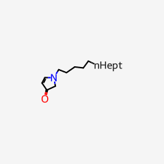 CCCCCCCCCCCCN1C=CC(=O)C1